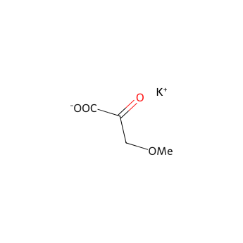 COCC(=O)C(=O)[O-].[K+]